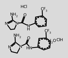 Cl.Cl.NC1=NCCN1C(=O)Nc1cccc(C(F)(F)F)c1.NC1=NCCN1C(=O)Nc1cccc(C(F)(F)F)c1.O